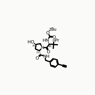 C#Cc1ccc(CNC(=O)[C@@H]2C[C@@H](O)CN2C(=O)[C@H](NC(=O)OC(C)(C)C)C(C)(C)CCC)cc1